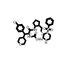 COC(=O)N[C@H](C(=O)NC1CCCC1CC[C@H]1CNCCN1S(=O)(=O)c1ccccc1)C(c1ccc(Cl)cc1)C1CCOCC1